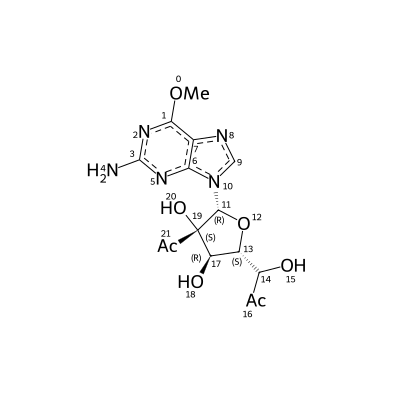 COc1nc(N)nc2c1ncn2[C@@H]1O[C@H](C(O)C(C)=O)[C@@H](O)[C@@]1(O)C(C)=O